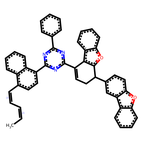 C/C=C\C=C/c1ccc(-c2nc(C3=CCC(c4ccc5oc6ccccc6c5c4)c4oc5ccccc5c43)nc(-c3ccccc3)n2)c2ccccc12